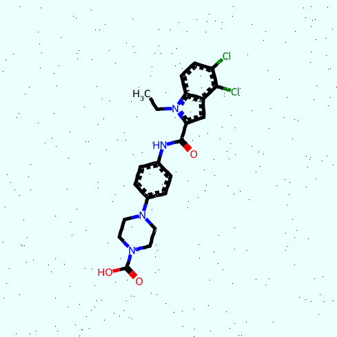 CCn1c(C(=O)Nc2ccc(N3CCN(C(=O)O)CC3)cc2)cc2c(Cl)c(Cl)ccc21